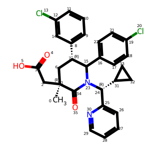 C[C@]1(CC(=O)O)C[C@H](c2cccc(Cl)c2)C(c2ccc(Cl)cc2)N([C@@H](c2ccccn2)C2CC2)C1=O